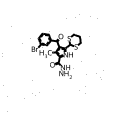 Cc1c(C(=O)NN)[nH]c(C2SCCCS2)c1C(=O)c1cccc(Br)c1